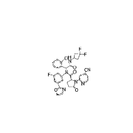 N#Cc1ccnc(N2C(=O)CC[C@H]2C(=O)N(c2cc(F)cc(-c3ncco3)c2)C(C(=O)NC2CC(F)(F)C2)c2ccccc2Cl)c1